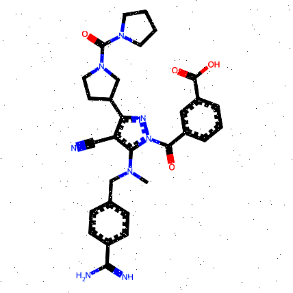 CN(Cc1ccc(C(=N)N)cc1)c1c(C#N)c(C2CCN(C(=O)N3CCCC3)C2)nn1C(=O)c1cccc(C(=O)O)c1